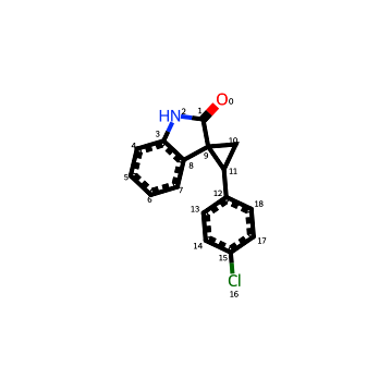 O=C1Nc2ccccc2C12CC2c1ccc(Cl)cc1